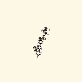 CN1CCN(c2ccc(-c3ccc(NC(=O)CCC(C)(C)OC(N)=O)cc3)c(F)c2[N+](=O)[O-])CC1